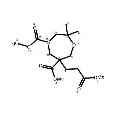 COC(=O)CCC1(C(=O)OC)COC(C)(C)CN(C(=O)OC(C)(C)C)C1